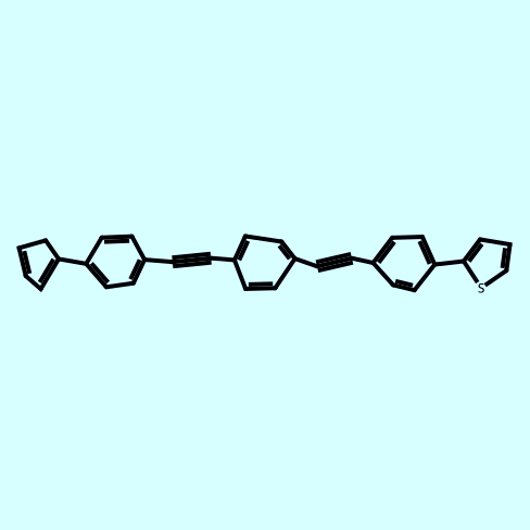 C(#Cc1ccc(C2=CC=CC2)cc1)c1ccc(C#Cc2ccc(-c3cccs3)cc2)cc1